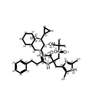 CC(C)(C)S(=O)(=O)CC(Cc1nc(I)[nH]c1I)(NC(=O)CCc1ccccc1)C(=O)N[C@@H](CC1CCCCC1)[C@@H](O)[C@@H](O)C1CC1